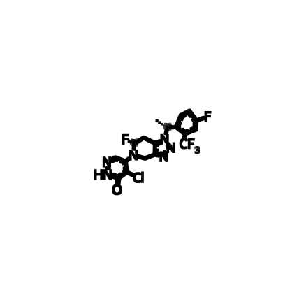 C[C@H](c1ccc(F)cc1C(F)(F)F)n1nnc2c1C[C@@H](F)N(c1cn[nH]c(=O)c1Cl)C2